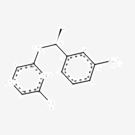 C[C@H](Nc1cncc(Cl)n1)c1cccc(N)c1